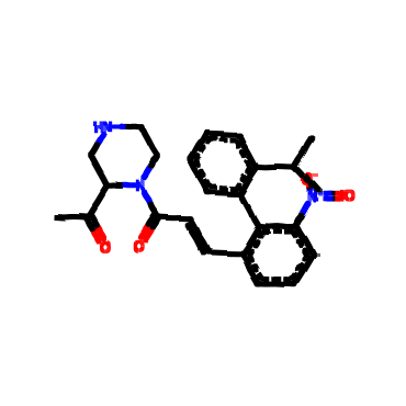 CC(=O)C1CNCCN1C(=O)/C=C/c1cc[c]c([N+](=O)[O-])c1-c1ccccc1C(C)C